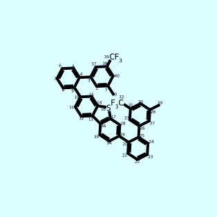 Cc1cc(-c2ccccc2-c2ccc3c(c2)sc2cc(-c4ccccc4-c4cc(C)cc(C(F)(F)F)c4)ccc23)cc(C(F)(F)F)c1